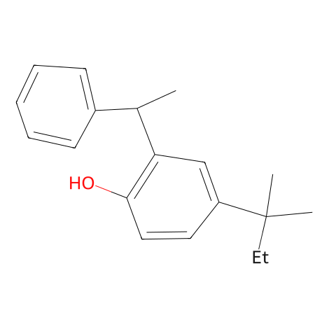 CCC(C)(C)c1ccc(O)c(C(C)c2ccccc2)c1